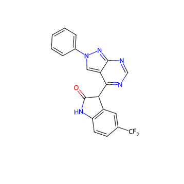 O=C1Nc2ccc(C(F)(F)F)cc2C1c1ncnc2nn(-c3ccccc3)cc12